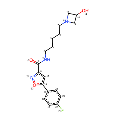 O=C(NCCCCCN1CC(O)C1)c1cc(-c2ccc(F)cc2)on1